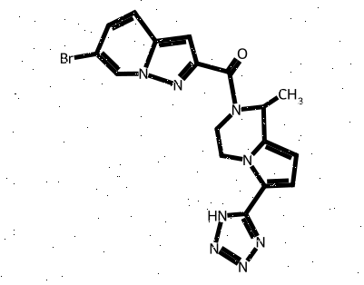 CC1c2ccc(-c3nnn[nH]3)n2CCN1C(=O)c1cc2ccc(Br)cn2n1